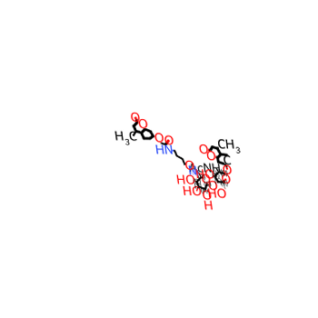 CC(=O)N[C@H]1[C@H](Oc2ccc3c(C)cc(=O)oc3c2)O[C@H](CO)[C@@H](O[C@@H]2O[C@H](/C=N/OCCCCNC(=O)COc3ccc4c(C)cc(=O)oc4c3)[C@H](O)[C@H](O)[C@H]2O)[C@@H]1O